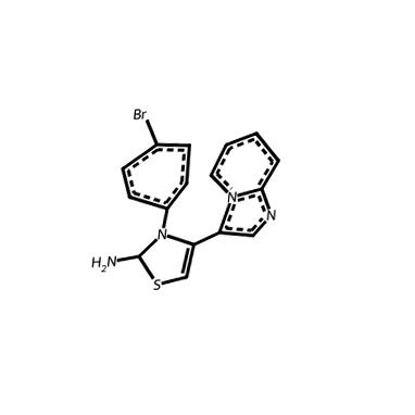 NC1SC=C(c2cnc3ccccn23)N1c1ccc(Br)cc1